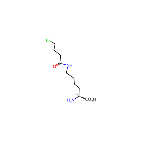 N[C@@H](CCCCNC(=O)CCCCl)C(=O)O